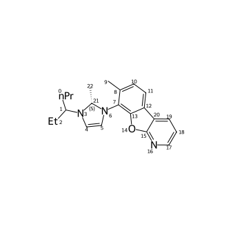 CCCC(CC)N1C=CN(c2c(C)ccc3c2oc2ncccc23)[C@H]1C